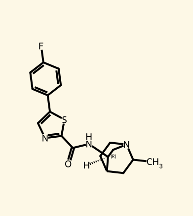 CC1CC2CCN1C[C@@H]2NC(=O)c1ncc(-c2ccc(F)cc2)s1